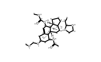 COCOC1CC2=CC(OC(=O)OC)[C@H]3[C@@H]4CC[C@H](C(C)C5OCCO5)[C@@]4(C)CC[C@@H]3[C@@]2(C)C(OC(C)=O)C1